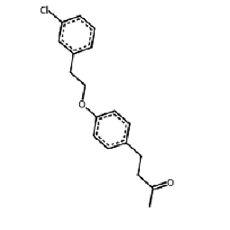 CC(=O)CCc1ccc(OCCc2cccc(Cl)c2)cc1